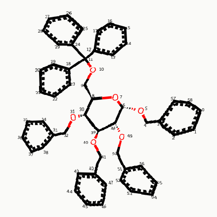 c1ccc(CO[C@H]2O[C@H](COC(c3ccccc3)(c3ccccc3)c3ccccc3)[C@@H](OCc3ccccc3)[C@H](OCc3ccccc3)[C@H]2OCc2ccccc2)cc1